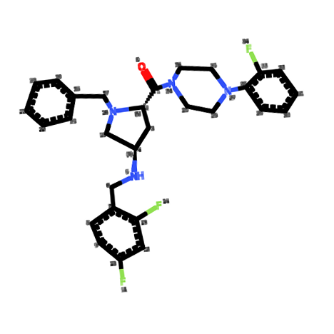 O=C([C@@H]1C[C@@H](NCc2ccc(F)cc2F)CN1Cc1ccccc1)N1CCN(c2ccccc2F)CC1